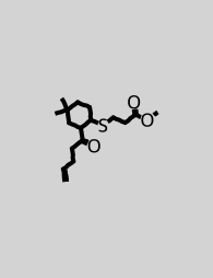 C=CCCC(=O)C1CC(C)(C)CCC1SCCC(=O)OC